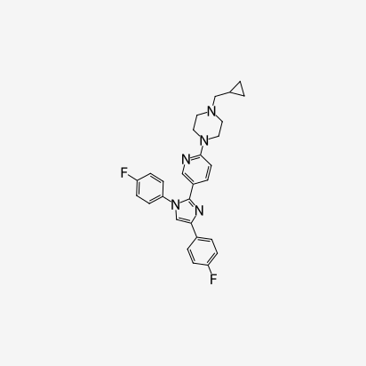 Fc1ccc(-c2cn(-c3ccc(F)cc3)c(-c3ccc(N4CCN(CC5CC5)CC4)nc3)n2)cc1